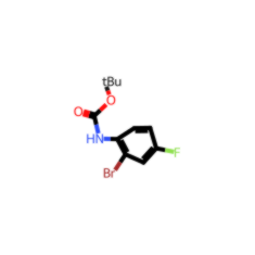 CC(C)(C)OC(=O)Nc1ccc(F)cc1Br